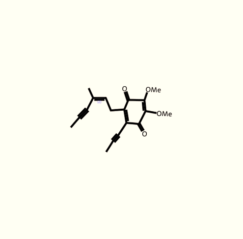 CC#CC1=C(C/C=C(/C)C#CC)C(=O)C(OC)=C(OC)C1=O